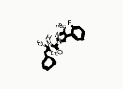 CCCCC1=NN(C(=O)NC(CC)(CC)Cc2ccccc2)CC1c1ccccc1F